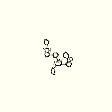 c1ccc(-c2cc(-c3cccc4oc5ccccc5c34)nc(-c3cccc(-c4cccc5sc(-c6ccccc6)nc45)c3)n2)cc1